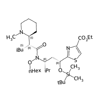 CCCCCCON(C(=O)[C@H]([C@@H](C)CC)[C@@H]1CCCCN1C)[C@H](C[C@@H](O[Si](C)(C)C(C)(C)C)c1nc(C(=O)OCC)cs1)C(C)C